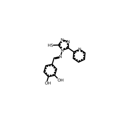 Oc1ccc(C=Nn2c(S)nnc2-c2ccccn2)cc1O